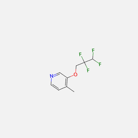 Cc1ccncc1OCC(F)(F)C(F)F